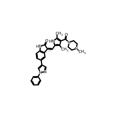 Cc1[nH]c(/C=C2\C(=O)Nc3ccc(-c4cnn(-c5ccccc5)c4)cc32)c(C)c1C(=O)N1CCN(C)CC1